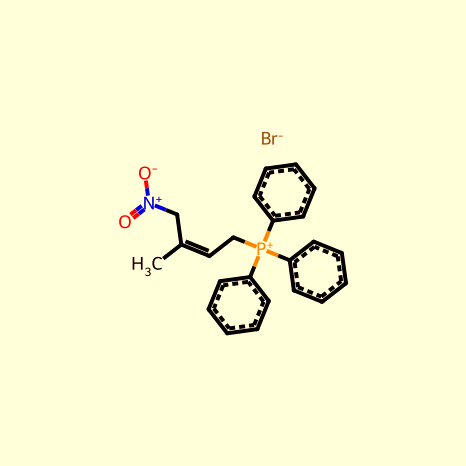 CC(=CC[P+](c1ccccc1)(c1ccccc1)c1ccccc1)C[N+](=O)[O-].[Br-]